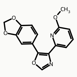 COc1cccc(-c2ncoc2-c2ccc3c(c2)OCO3)n1